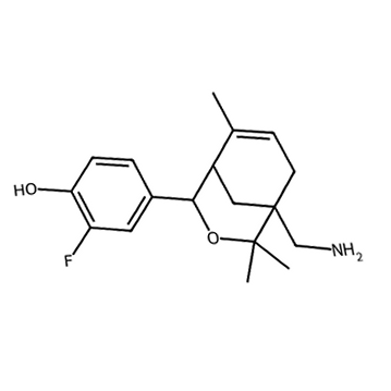 CC1=CCC2(CN)CC1C(c1ccc(O)c(F)c1)OC2(C)C